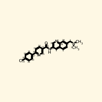 CN(C)Cc1ccc2cc(NC(=O)c3ccc(-c4ccc(Cl)cc4)nc3)cnc2c1